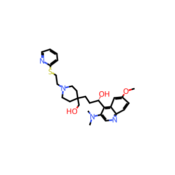 COc1ccc2ncc(N(C)C)c([C@@H](O)CCC3(CO)CCN(CCSc4ccccn4)CC3)c2c1